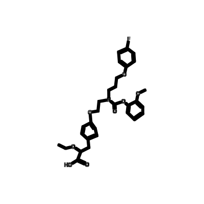 CCOC(Cc1ccc(OCCN(CCCOc2ccc(F)cc2)C(=O)Oc2ccccc2OC)cc1)C(=O)O